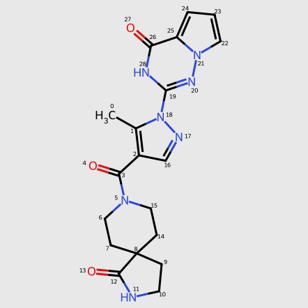 Cc1c(C(=O)N2CCC3(CCNC3=O)CC2)cnn1-c1nn2cccc2c(=O)[nH]1